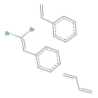 BrC(Br)=Cc1ccccc1.C=CC=C.C=Cc1ccccc1